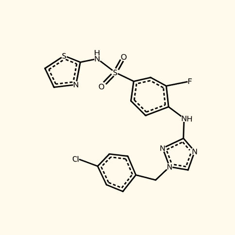 O=S(=O)(Nc1nccs1)c1ccc(Nc2ncn(Cc3ccc(Cl)cc3)n2)c(F)c1